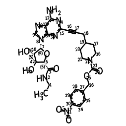 CCNC(=O)[C@H]1O[C@@H](n2cnc3c(N)nc(C#CCC4CCN(C(=O)OCc5ccc([N+](=O)[O-])cc5)CC4)nc32)[C@@H](O)C1O